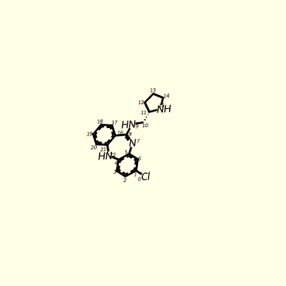 Clc1ccc2c(c1)N=C(NC[C@@H]1CCCN1)c1ccccc1N2